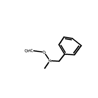 CN(Cc1ccccc1)OC=O